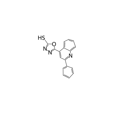 Sc1nnc(-c2cc(-c3ccccc3)nc3ccccc23)o1